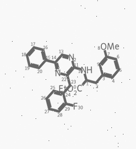 CCOC(=O)C(Cc1cccc(OC)c1)Nc1ncc(-c2ccccc2)nc1Cc1ccccc1F